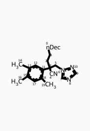 CCCCCCCCCCCCC(C#N)(Cn1cncn1)c1cc(C)c(C)cc1C